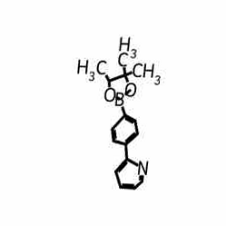 CC1OB(c2ccc(-c3ccccn3)cc2)OC1(C)C